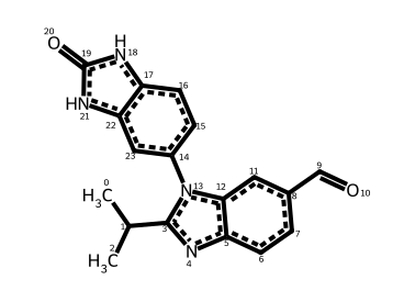 CC(C)c1nc2ccc(C=O)cc2n1-c1ccc2[nH]c(=O)[nH]c2c1